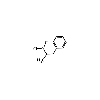 CC(Cc1ccccc1)N(Cl)Cl